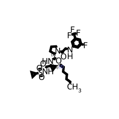 CCCCC/C=C\[C@@H]1C[C@]1(NC(=O)[C@@H]1CCCN1C(=O)CNc1cc(F)cc(C(F)(F)F)c1)C(=O)NS(=O)(=O)C1CC1